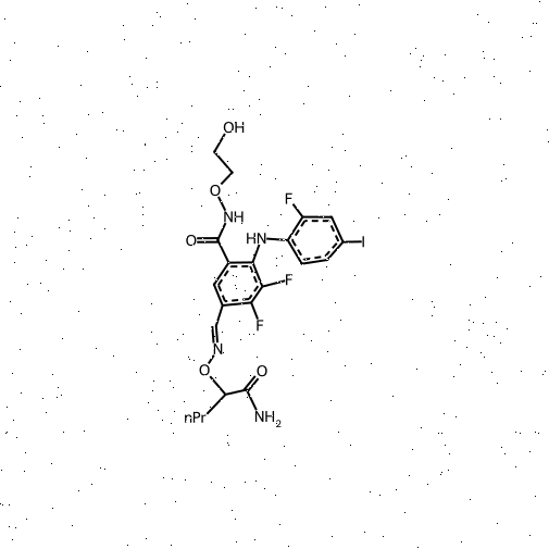 CCCC(O/N=C/c1cc(C(=O)NOCCO)c(Nc2ccc(I)cc2F)c(F)c1F)C(N)=O